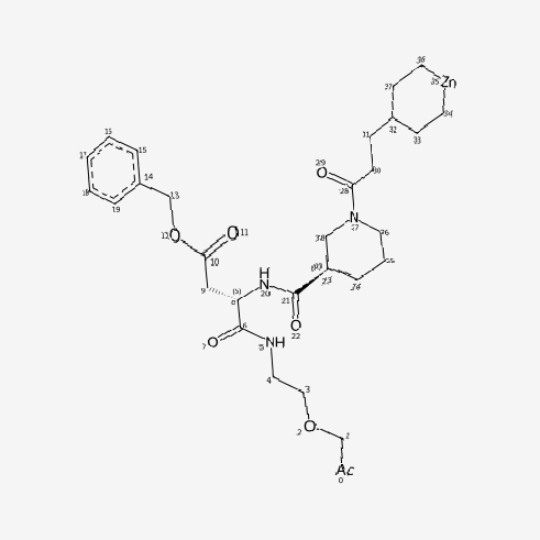 CC(=O)COCCNC(=O)[C@H](CC(=O)OCc1ccccc1)NC(=O)[C@@H]1CCCN(C(=O)CCC2C[CH2][Zn][CH2]C2)C1